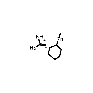 NC(=S)S.[CH3][Zn][CH]1CCCCC1